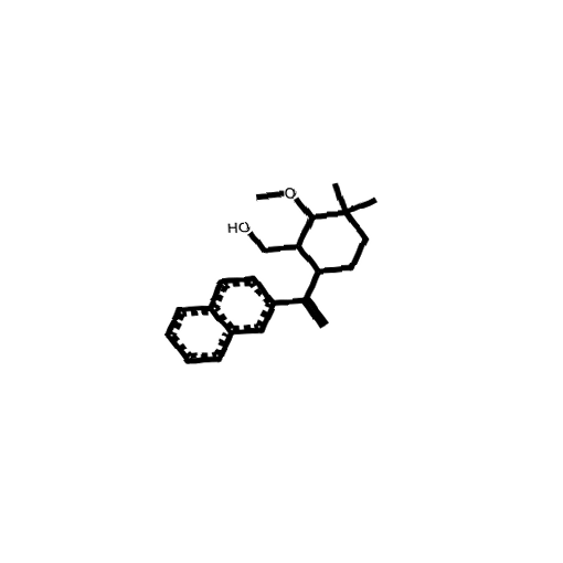 C=C(c1ccc2ccccc2c1)C1CCC(C)(C)C(OC)C1CO